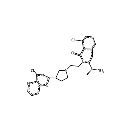 C[C@H](N)c1cc2cccc(Cl)c2c(=O)n1CCN1CCC(c2nc(Cl)c3ncccc3n2)C1